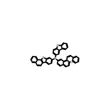 Cc1ccc2ccc(N(c3ccc4c(c3)sc3c5ccccc5ccc43)c3ccc4oc5ccccc5c4c3)cc2c1/C=C\c1ccccc1